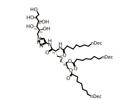 CCCCCCCCCCCCCCCCC(=O)N[C@H](CSC[C@@H](COC(=O)CCCCCCCCCCCCCCCC)OC(=O)CCCCCCCCCCCCCCCC)C(=O)Nc1cn(C[C@H](O)[C@H](O)[C@H](O)[C@H](O)CO)nn1